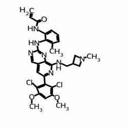 C=CC(=O)Nc1cccc(C)c1Nc1ncc2cc(-c3c(Cl)c(OC)cc(OC)c3Cl)nc(NCC3CN(C)C3)c2n1